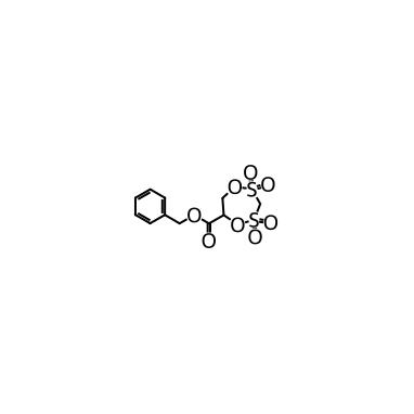 O=C(OCc1ccccc1)C1COS(=O)(=O)CS(=O)(=O)O1